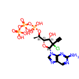 C#CC1(Cl)[C@@H](O)[C@@H]([C@@H](C)OP(=O)(O)OP(=O)(O)OP(=O)(O)O)O[C@H]1n1cnc2cnc(N)nc21